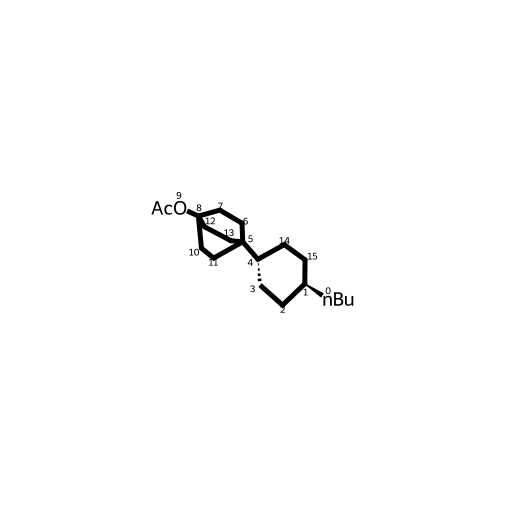 CCCC[C@H]1CC[C@H](C23CCC(OC(C)=O)(CC2)CC3)CC1